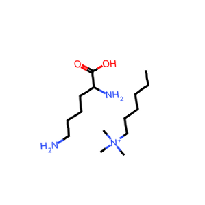 CCCCCC[N+](C)(C)C.NCCCCC(N)C(=O)O